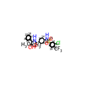 CC(C)(O)[C@@H](NC(=O)[C@H]1CC[C@H](NS(=O)(=O)c2ccc(C(F)(F)F)c(Cl)c2)CC1)c1ccccc1